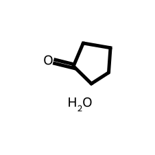 O.O=C1CCCC1